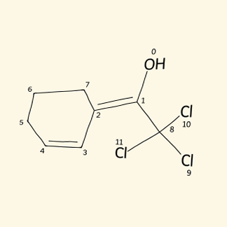 OC(=C1C=CCCC1)C(Cl)(Cl)Cl